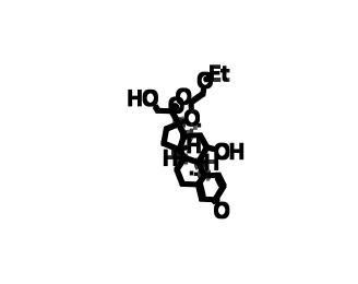 CCOCC(=O)O[C@]1(C(=O)CO)CC[C@H]2[C@@H]3CCC4=CC(=O)C=C[C@]4(C)[C@H]3C(O)C[C@@]21C